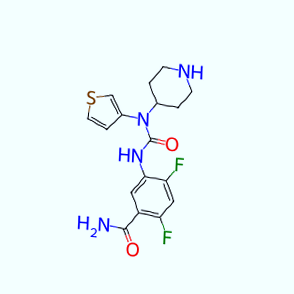 NC(=O)c1cc(NC(=O)N(c2ccsc2)C2CCNCC2)c(F)cc1F